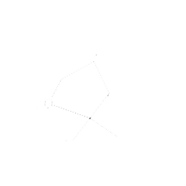 CC1(C)[CH]CCO1